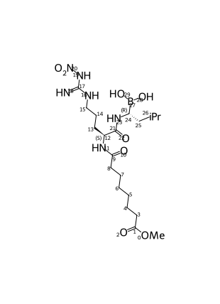 COC(=O)CCCCCCC(=O)N[C@@H](CCCNC(=N)N[N+](=O)[O-])C(=O)N[C@@H](CC(C)C)B(O)O